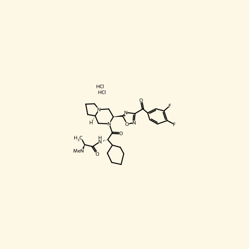 CN[C@@H](C)C(=O)N[C@H](C(=O)N1C[C@H]2CCCN2C[C@H]1c1nc(C(=O)c2ccc(F)c(F)c2)no1)C1CCCCC1.Cl.Cl